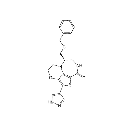 O=C1NC[C@H](COCc2ccccc2)N2CCOc3c(-c4cn[nH]c4)sc1c32